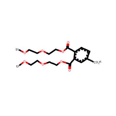 CCOCCOCCOC(=O)c1ccc(C(=O)O)cc1C(=O)OCCOCCOCC